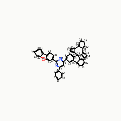 c1ccc(-c2cc(-c3ccc4c(c3)-c3ccccc3C43c4ccccc4-c4ccccc4-c4ccccc43)nc(-c3ccc4c(c3)oc3ccccc34)n2)cc1